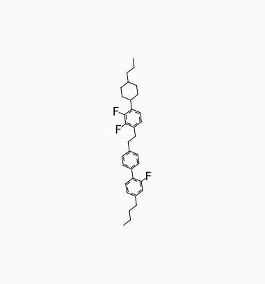 CCCCc1ccc(-c2ccc(CCc3ccc(C4CCC(CCC)CC4)c(F)c3F)cc2)c(F)c1